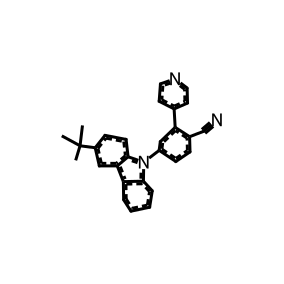 CC(C)(C)c1ccc2c(c1)c1ccccc1n2-c1ccc(C#N)c(-c2ccncc2)c1